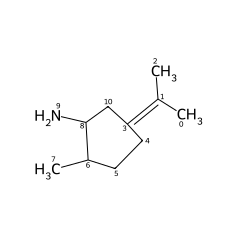 CC(C)=C1CCC(C)C(N)C1